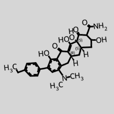 CCc1ccc(-c2cc(N(C)C)c3c(c2O)C(=O)C2=C(O)[C@]4(O)C(=O)C(C(N)=O)C(O)C[C@@H]4C[C@@H]2C3)cc1